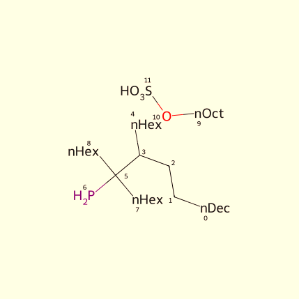 CCCCCCCCCCCCC(CCCCCC)C(P)(CCCCCC)CCCCCC.CCCCCCCCOS(=O)(=O)O